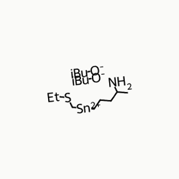 CCC(C)[O-].CCC(C)[O-].CCS[CH2][Sn+2][CH2]CCC(C)N